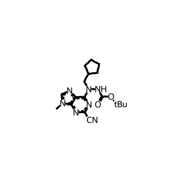 Cn1cnc2c(N(CC3CCCC3)NC(=O)OC(C)(C)C)nc(C#N)nc21